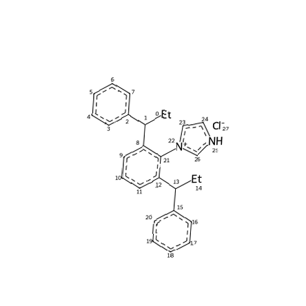 CCC(c1ccccc1)c1cccc(C(CC)c2ccccc2)c1-[n+]1cc[nH]c1.[Cl-]